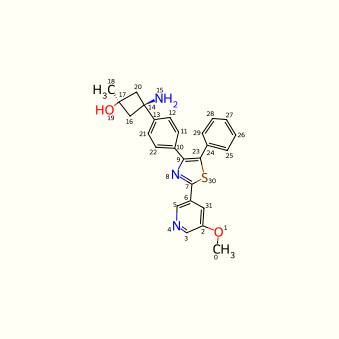 COc1cncc(-c2nc(-c3ccc([C@]4(N)C[C@@](C)(O)C4)cc3)c(-c3ccccc3)s2)c1